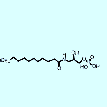 CCCCCCCCCCCCCCCCCCCC(=O)NCC(O)COP(=O)(O)O